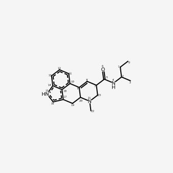 CCC(C)NC(=O)C1C=C2c3cccc4[nH]cc(c34)CC2N(C)C1